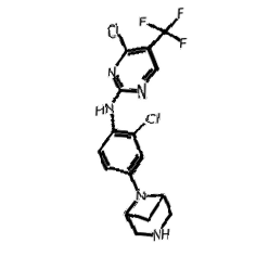 FC(F)(F)c1cnc(Nc2ccc(N3C4CNCC3C4)cc2Cl)nc1Cl